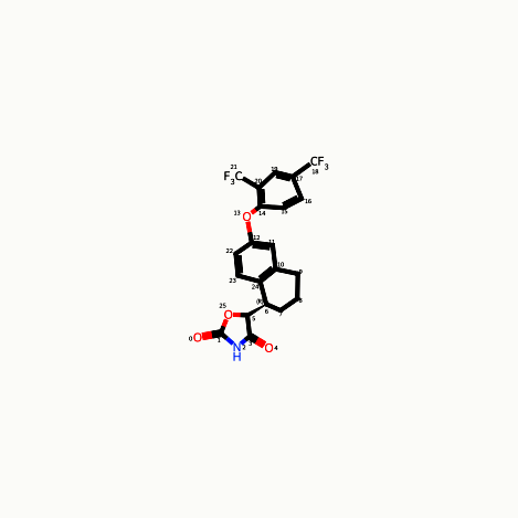 O=C1NC(=O)C([C@@H]2CCCc3cc(Oc4ccc(C(F)(F)F)cc4C(F)(F)F)ccc32)O1